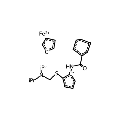 CC(C)N(CSc1ccc[c-]1NC(=O)c1ccccc1)C(C)C.[Fe+2].c1cc[cH-]c1